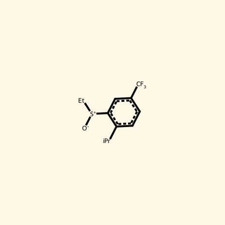 CC[S+]([O-])c1cc(C(F)(F)F)ccc1C(C)C